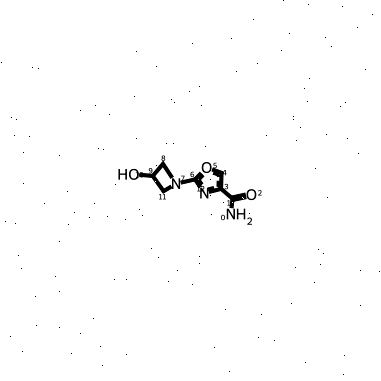 NC(=O)c1coc(N2CC(O)C2)n1